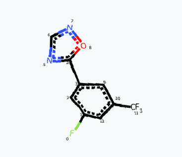 Fc1cc(-c2n[c]no2)cc(C(F)(F)F)c1